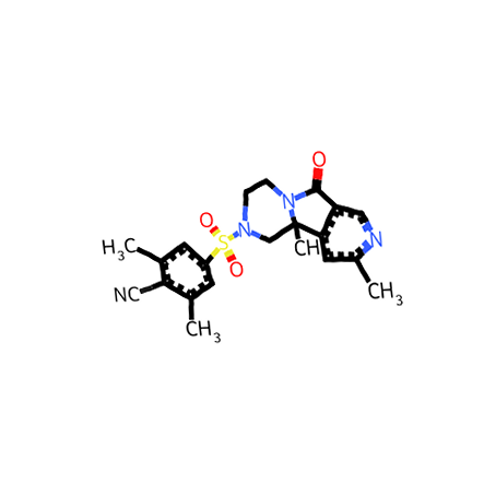 Cc1cc2c(cn1)C(=O)N1CCN(S(=O)(=O)c3cc(C)c(C#N)c(C)c3)CC21C